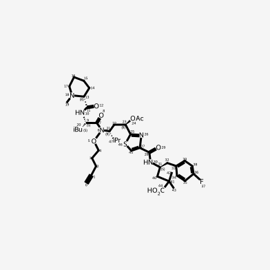 C#CCCCON(C(=O)[C@@H](NC(=O)[C@H]1CCCCN1C)[C@@H](C)CC)[C@H](C[C@@H](OC(C)=O)c1nc(C(=O)N[C@@H](Cc2ccc(F)cc2)CC(C)(C)C(=O)O)cs1)C(C)C